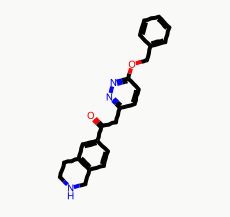 O=C(Cc1ccc(OCc2ccccc2)nn1)c1ccc2c(c1)CCNC2